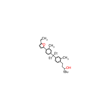 C=Cc1ccc(-c2ccc(C(CC)(CC)c3ccc(CCC(O)C(C)(C)C)c(C)c3)cc2C)o1